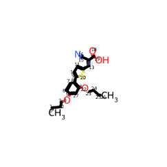 CCCCOc1ccc(-c2ccc(/C=C(\C#N)C(=O)O)s2)c(OCCCC)c1